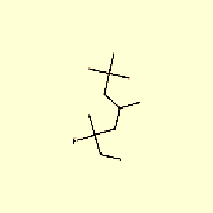 CCC(C)(F)CC(C)CC(C)(C)C